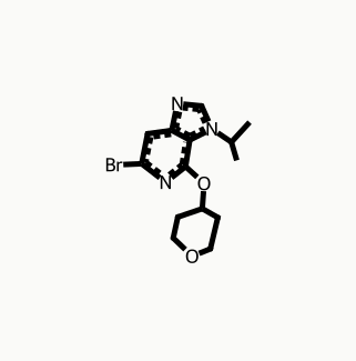 CC(C)n1cnc2cc(Br)nc(OC3CCOCC3)c21